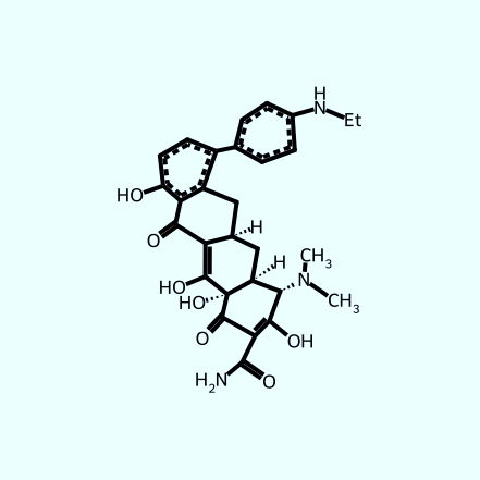 CCNc1ccc(-c2ccc(O)c3c2C[C@H]2C[C@H]4[C@H](N(C)C)C(O)=C(C(N)=O)C(=O)[C@@]4(O)C(O)=C2C3=O)cc1